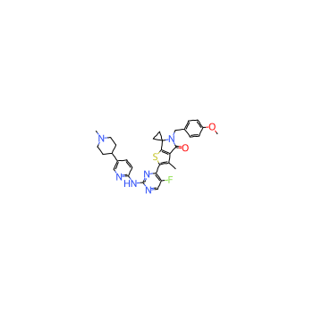 COc1ccc(CN2C(=O)c3c(sc(-c4nc(Nc5ccc(C6CCN(C)CC6)cn5)ncc4F)c3C)C23CC3)cc1